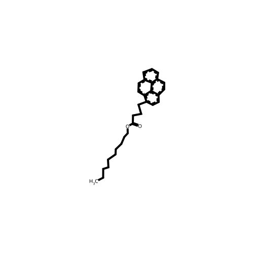 CCCCCCCCCCOC(=O)CCCc1ccc2ccc3cccc4ccc1c2c34